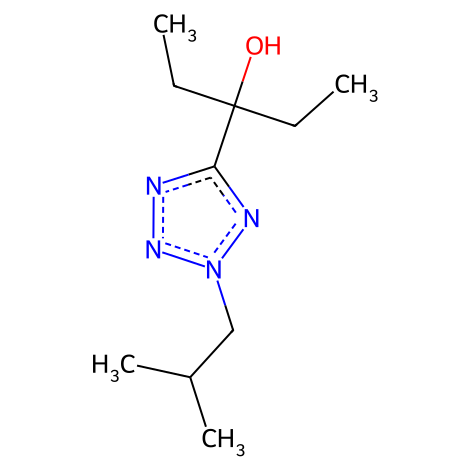 CCC(O)(CC)c1nnn(CC(C)C)n1